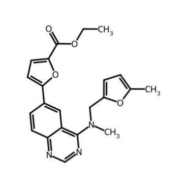 CCOC(=O)c1ccc(-c2ccc3ncnc(N(C)Cc4ccc(C)o4)c3c2)o1